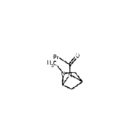 CC(C)C(=O)N1C2CC1N(C)C2